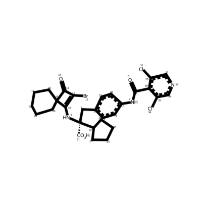 O=C(Nc1ccc(C[C@@](NC2=C(Br)C(=O)C23CCCCC3)(C(=O)O)C2CCCC2)cc1)c1c(Cl)cncc1Cl